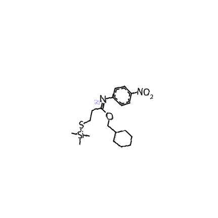 C[Si](C)(C)SCC/C(=N/c1ccc([N+](=O)[O-])cc1)OCC1CCCCC1